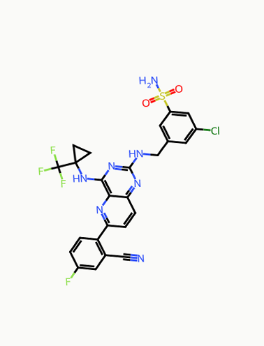 N#Cc1cc(F)ccc1-c1ccc2nc(NCc3cc(Cl)cc(S(N)(=O)=O)c3)nc(NC3(C(F)(F)F)CC3)c2n1